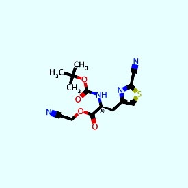 CC(C)(C)OC(=O)N[C@@H](Cc1csc(C#N)n1)C(=O)OCC#N